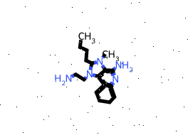 CCCCC1N(C)c2c(N)nc3c(c2N1CCN)=CCCC=3